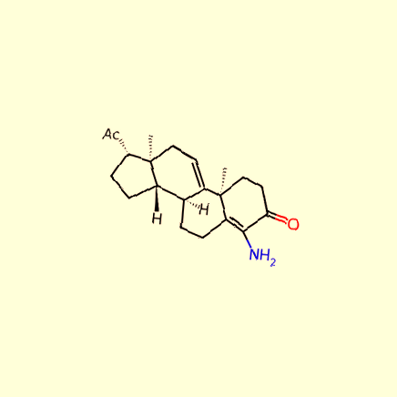 CC(=O)[C@H]1CC[C@H]2[C@@H]3CCC4=C(N)C(=O)CC[C@]4(C)C3=CC[C@]12C